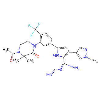 CC(=O)N1CCN(c2cc(-c3cc(-c4cnn(C)c4)c(/C(N)=N\C=N)[nH]3)ccc2C(F)(F)F)C(=O)C1(C)C